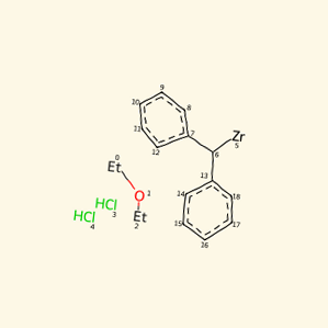 CCOCC.Cl.Cl.[Zr][CH](c1ccccc1)c1ccccc1